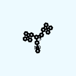 c1ccc(C2(c3ccccc3)c3ccccc3-c3ccc(-c4ccc5sc6c(-c7ccc(-c8nc9ccccc9o8)cc7)cc(-c7ccc8c(c7)C(c7ccccc7)(c7ccccc7)c7ccccc7-8)cc6c5c4)cc32)cc1